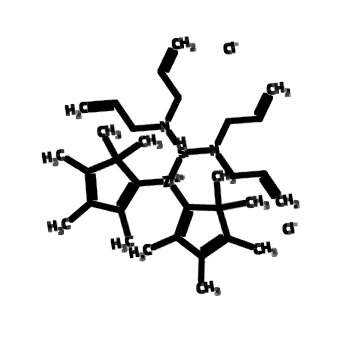 C=CCN(CC=C)[SiH](N(CC=C)CC=C)[Zr+2]([C]1=C(C)C(C)=C(C)C1(C)C)[C]1=C(C)C(C)=C(C)C1(C)C.[Cl-].[Cl-]